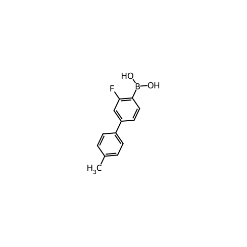 Cc1ccc(-c2ccc(B(O)O)c(F)c2)cc1